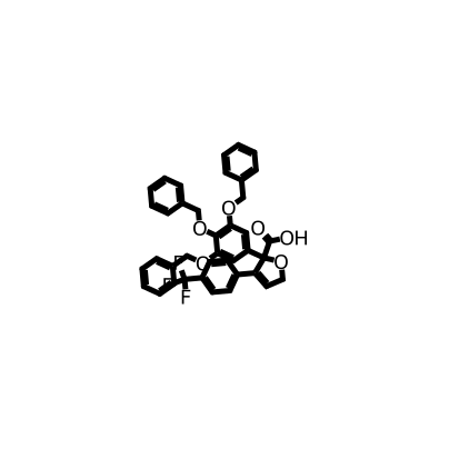 O=C(O)C1(c2cc(OCc3ccccc3)c(OCc3ccccc3)c(OCc3ccccc3)c2)OCC=C1c1ccc(C(F)(F)F)cc1